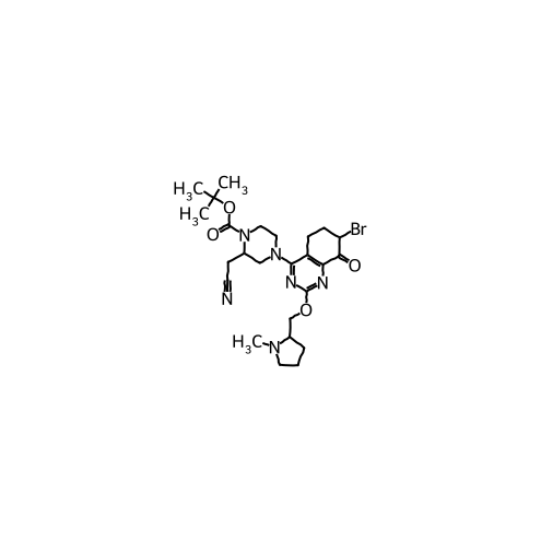 CN1CCCC1COc1nc2c(c(N3CCN(C(=O)OC(C)(C)C)C(CC#N)C3)n1)CCC(Br)C2=O